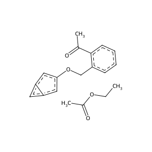 CC(=O)c1ccccc1COc1cc2cc-2c1.CCOC(C)=O